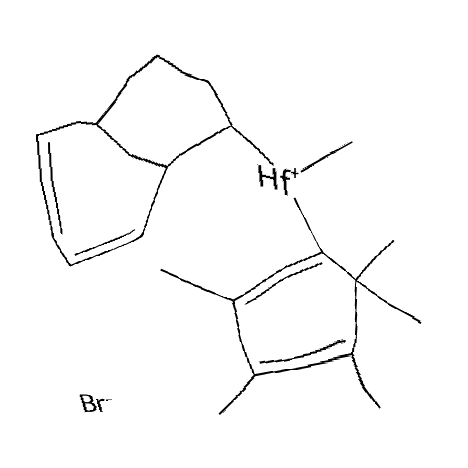 CC1=C(C)C(C)(C)[C]([Hf+]([CH3])[CH]2CCC3C=CC=CC32)=C1C.[Br-]